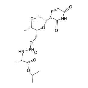 CC(C)OC(=O)[C@H](C)N[PH](=O)OC[C@@H](O[C@H](C)n1ccc(=O)[nH]c1=O)[C@H](C)O